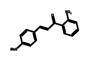 CSc1ccc(C=CC(=O)c2ccccc2[N+](=O)[O-])cc1